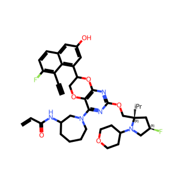 C#Cc1c(F)ccc2cc(O)cc(C3COc4c(nc(OC[C@]5(C(C)C)C[C@@H](F)CN5C5CCOCC5)nc4N4CCCCC(NC(=O)C=C)C4)O3)c12